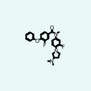 CN(C(=O)c1ccc(Oc2ccccc2)c(F)c1)c1ccc(N2CCC(N(C)C)C2)c(F)c1